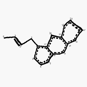 CC=CCc1cccc2cc3ccccc3cc12